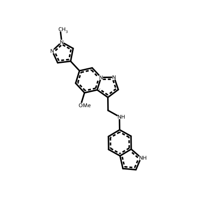 COc1cc(-c2cnn(C)c2)cn2ncc(CNc3ccc4cc[nH]c4c3)c12